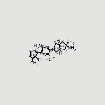 Cc1cccc(-c2ncc(N3C[C@@H]4C[C@](C)(N)C[C@@H]4C3)nc2N)c1Cl.Cl